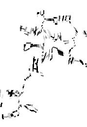 NC(=O)C[C@H](N)C(=O)O.NC(=O)C[C@H](N)C(=O)O.NCCCC[C@H](N)C(=O)O